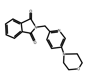 O=C1c2ccccc2C(=O)N1Cc1ccc(N2CCOCC2)cn1